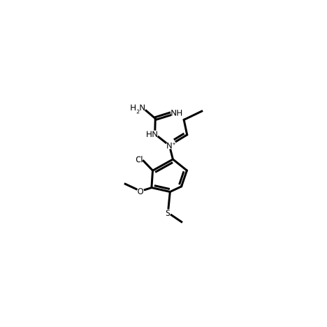 CCC=[N+](NC(=N)N)c1ccc(SC)c(OC)c1Cl